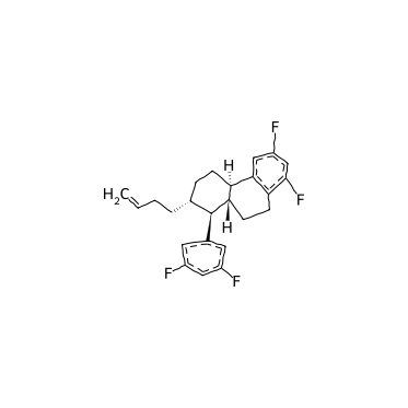 C=CCC[C@@H]1CC[C@H]2c3cc(F)cc(F)c3CC[C@@H]2[C@H]1c1cc(F)cc(F)c1